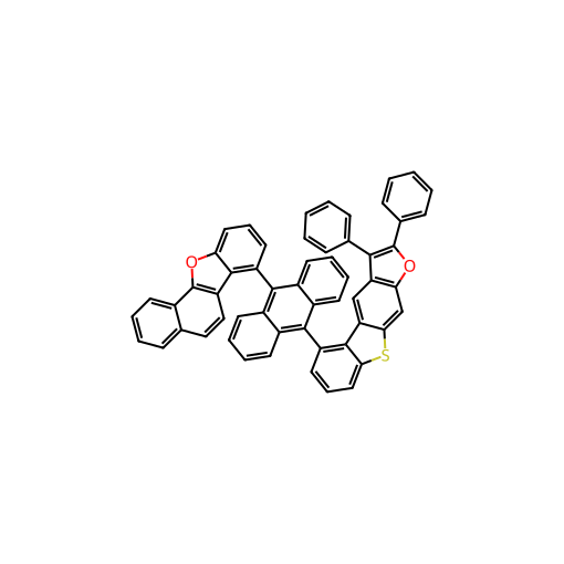 c1ccc(-c2oc3cc4sc5cccc(-c6c7ccccc7c(-c7cccc8oc9c%10ccccc%10ccc9c78)c7ccccc67)c5c4cc3c2-c2ccccc2)cc1